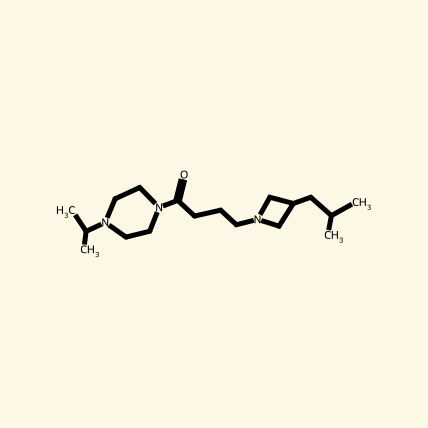 CC(C)CC1CN(CCCC(=O)N2CCN(C(C)C)CC2)C1